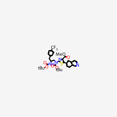 COC(=O)c1nc(N(CC(Cc2ccc(C(F)(F)F)cc2)NC(=O)OC(C)(C)C)C(=O)OC(C)(C)C)sc1-c1ccc2cnccc2c1